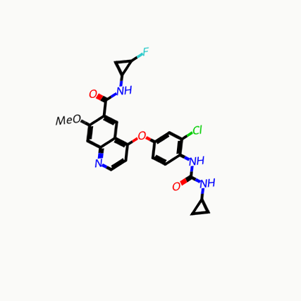 COc1cc2nccc(Oc3ccc(NC(=O)NC4CC4)c(Cl)c3)c2cc1C(=O)NC1CC1F